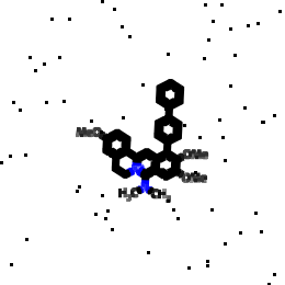 COc1ccc2c(c1)CC[n+]1c-2cc2c(-c3ccc(-c4ccccc4)cc3)c(OC)c(OC)cc2c1N(C)C